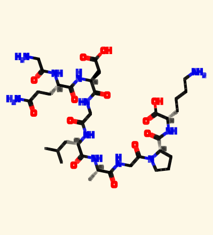 CC(C)C[C@H](NC(=O)CNC(=O)[C@H](CC(=O)O)NC(=O)[C@H](CCC(N)=O)NC(=O)CN)C(=O)N[C@@H](C)C(=O)NCC(=O)N1CCC[C@H]1C(=O)N[C@@H](CCCCN)C(=O)O